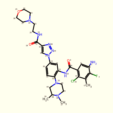 Cc1c(F)c(N)cc(C(=O)Nc2cc(-n3cc(C(=O)NCCN4CCOCC4)nn3)ccc2N2CCN(C)C(C)C2)c1Cl